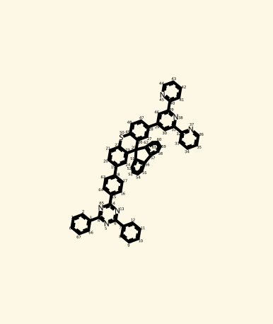 c1ccc(-c2nc(-c3ccccc3)nc(-c3ccc(-c4ccc5c(c4)C4(c6cc(-c7cc(-c8ccccn8)nc(-c8ccccn8)c7)ccc6S5)c5ccccc5-c5ccccc54)cc3)n2)cc1